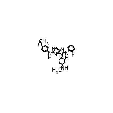 CNC1CCC(n2c(Nc3ccccc3F)nc3cnc(Nc4ccc(OC)cc4)nc32)CC1